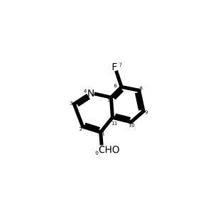 O=Cc1ccnc2c(F)cccc12